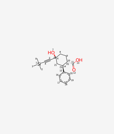 C[Si](C)(C)C#C[C@]1(O)CC[C@H](C(=O)O)[C@@H](c2ccccc2)C1